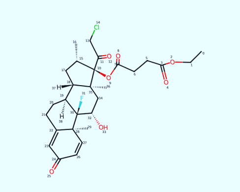 CCOC(=O)CCC(=O)O[C@]1(C(=O)CCl)[C@@H](C)C[C@H]2[C@@H]3CCC4=CC(=O)C=C[C@]4(C)[C@@]3(F)[C@@H](O)C[C@@]21C